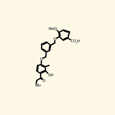 COc1ccc(C(=O)O)cc1OCc1cccc(COc2ccc(C(=O)CC(C)(C)C)c(O)c2C)c1